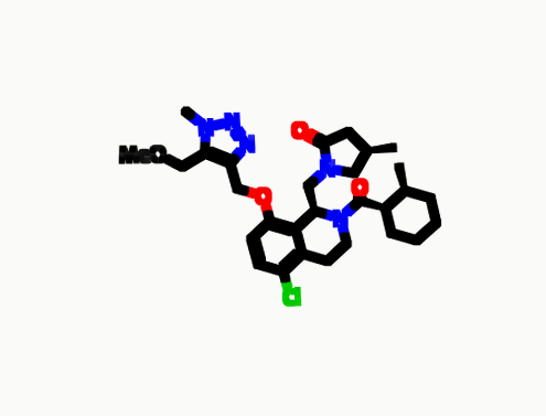 COCc1c(COc2ccc(Cl)c3c2[C@@H](CN2C[C@H](C)CC2=O)N(C(=O)[C@@H]2CCCC[C@@H]2C)CC3)nnn1C